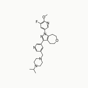 COc1ncc(-n2nc(-c3cncc(CN4CCN(C(C)C)CC4)c3)c3c2CCOCC3)cc1F